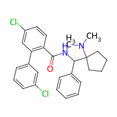 CN(C)C1(C(NC(=O)c2ccc(Cl)cc2-c2cccc(Cl)c2)c2ccccc2)CCCC1